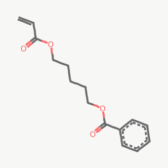 C=CC(=O)OCCCCCOC(=O)c1ccccc1